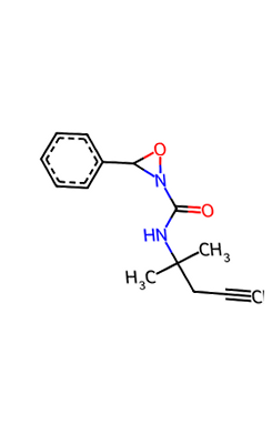 C#CCC(C)(C)NC(=O)N1OC1c1ccccc1